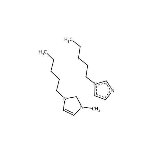 CCCCCN1C=CN(C)C1.CCCCCn1ccnc1